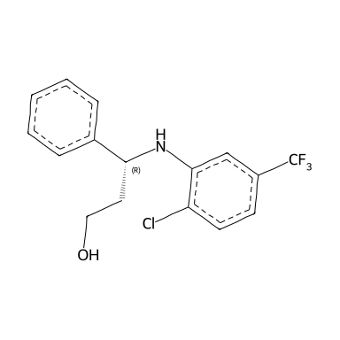 OCC[C@@H](Nc1cc(C(F)(F)F)ccc1Cl)c1ccccc1